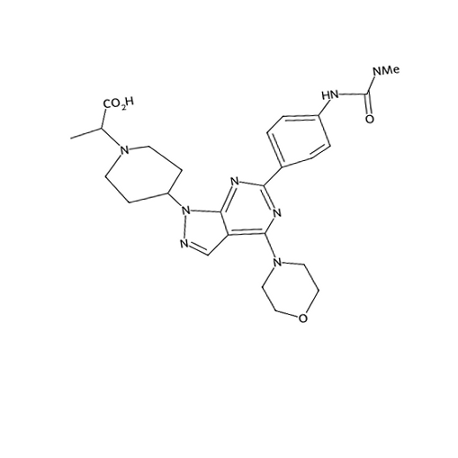 CNC(=O)Nc1ccc(-c2nc(N3CCOCC3)c3cnn(C4CCN(C(C)C(=O)O)CC4)c3n2)cc1